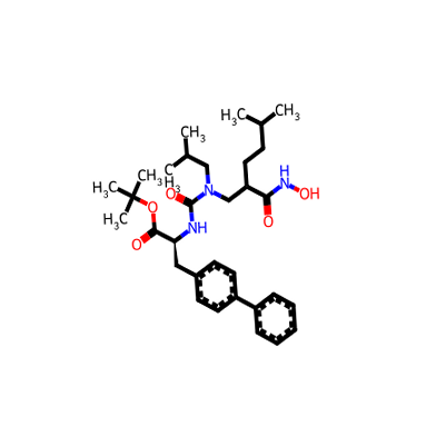 CC(C)CCC(CN(CC(C)C)C(=O)N[C@@H](Cc1ccc(-c2ccccc2)cc1)C(=O)OC(C)(C)C)C(=O)NO